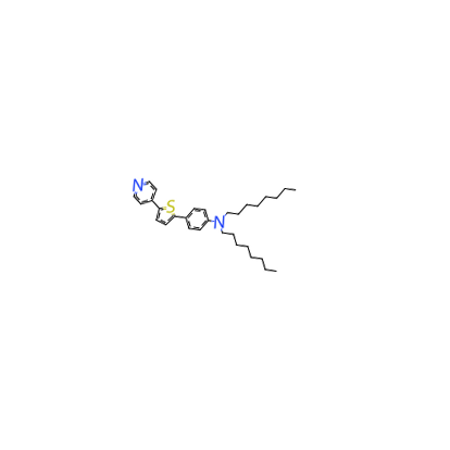 CCCCCCCCN(CCCCCCCC)c1ccc(-c2ccc(-c3ccncc3)s2)cc1